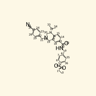 CCS(=O)(=O)c1ccc(CNC(=O)c2ccc3c(c2)CN(Cc2ccc(C#N)cc2)C[C@@H]3C(C)C)cc1